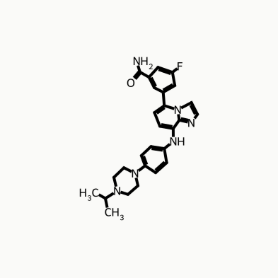 CC(C)N1CCN(c2ccc(Nc3ccc(-c4cc(F)cc(C(N)=O)c4)n4ccnc34)cc2)CC1